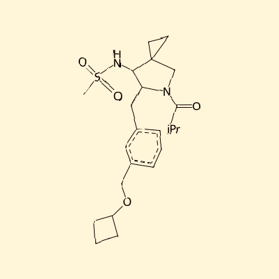 CC(C)C(=O)N1CC2(CC2)C(NS(C)(=O)=O)C1Cc1cccc(COC2CCC2)c1